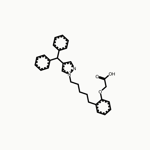 O=C(O)COc1ccccc1CCCCCn1cc(C(c2ccccc2)c2ccccc2)cn1